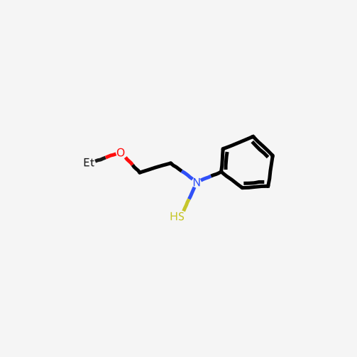 CCOCCN(S)c1ccccc1